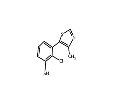 Cc1ncsc1-c1cccc(S)c1Cl